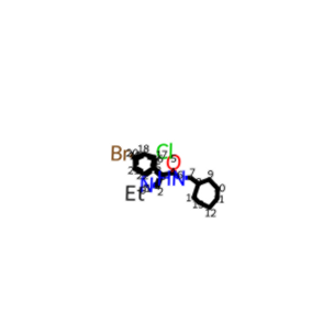 CCn1cc(C(=O)NCC2CCCCCC2)c2c(Cl)cc(Br)cc21